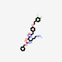 NCCCCC(NC(=O)OCc1ccccc1)C(=O)c1noc(Cc2ccc(OCCc3ccc(F)c(F)c3)cc2)n1